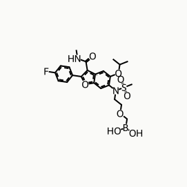 CNC(=O)c1c(-c2ccc(F)cc2)oc2cc(N(CCOCB(O)O)S(C)(=O)=O)c(OC(C)C)cc12